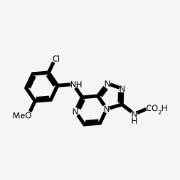 COc1ccc(Cl)c(Nc2nccn3c(NC(=O)O)nnc23)c1